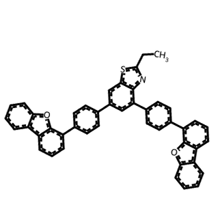 CCc1nc2c(-c3ccc(-c4cccc5c4oc4ccccc45)cc3)cc(-c3ccc(-c4cccc5c4oc4ccccc45)cc3)cc2s1